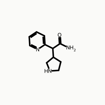 NC(=O)C(c1ccccn1)C1CCNC1